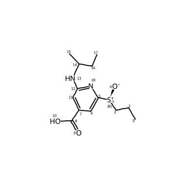 CCC[S@+]([O-])c1cc(C(=O)O)cc(NC(C)CC)n1